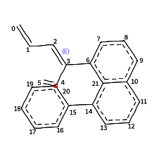 C=C/C=C(\C=C)c1cccc2cccc(-c3ccccc3)c12